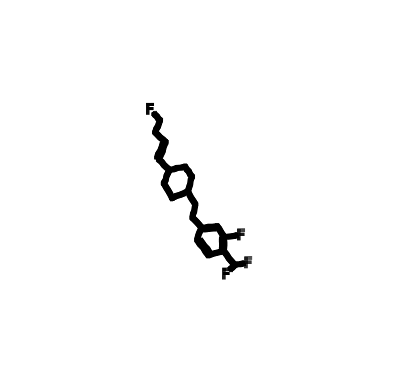 FCCC=CC1CCC(CCc2ccc(C(F)F)c(F)c2)CC1